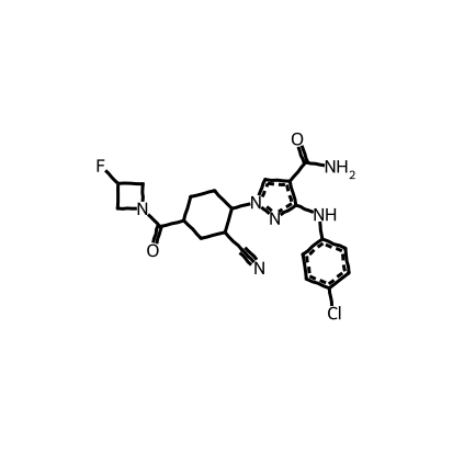 N#CC1CC(C(=O)N2CC(F)C2)CCC1n1cc(C(N)=O)c(Nc2ccc(Cl)cc2)n1